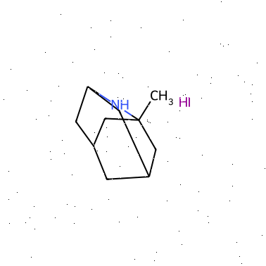 CC12CC3CC(CC(C3)N1)C2.I